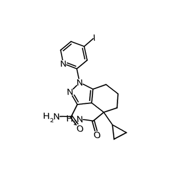 NC(=O)c1nn(-c2cc(I)ccn2)c2c1C(C(N)=O)(C1CC1)CCC2